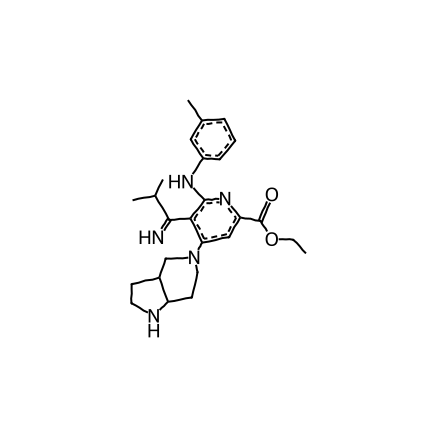 CCOC(=O)c1cc(N2CCC3NCCC3C2)c(C(=N)C(C)C)c(Nc2cccc(C)c2)n1